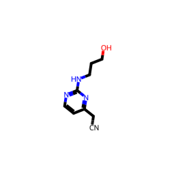 N#CCc1ccnc(NCCCO)n1